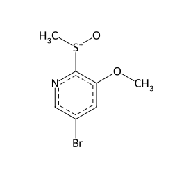 COc1cc(Br)cnc1[S+](C)[O-]